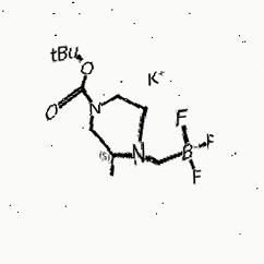 C[C@H]1CN(C(=O)OC(C)(C)C)CCN1C[B-](F)(F)F.[K+]